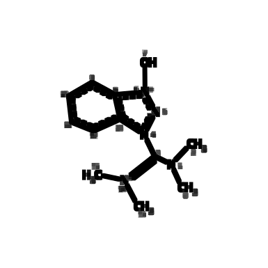 CN(C)C(n1n[n+](O)c2ccccc21)=[N+](C)C